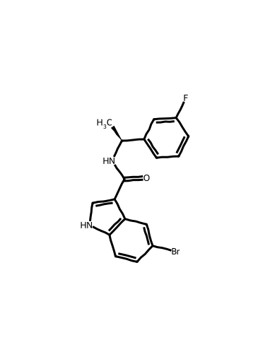 C[C@H](NC(=O)c1c[nH]c2ccc(Br)cc12)c1cccc(F)c1